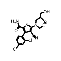 N#Cc1c(N2CCOC(CO)C2)sc(C(N)=O)c1-c1ccc(Cl)cc1Cl